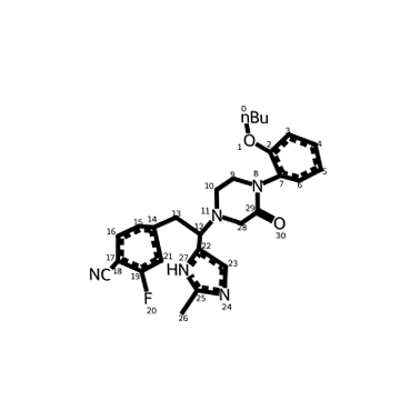 CCCCOc1ccccc1N1CCN(C(Cc2ccc(C#N)c(F)c2)c2cnc(C)[nH]2)CC1=O